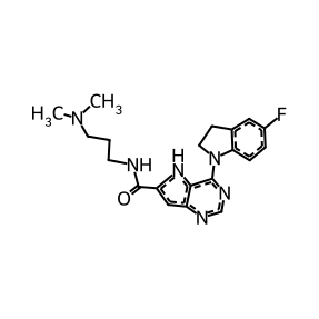 CN(C)CCCNC(=O)c1cc2ncnc(N3CCc4cc(F)ccc43)c2[nH]1